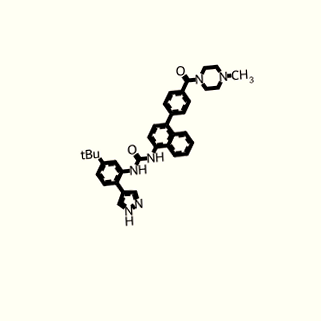 CN1CCN(C(=O)c2ccc(-c3ccc(NC(=O)Nc4cc(C(C)(C)C)ccc4-c4cn[nH]c4)c4ccccc34)cc2)CC1